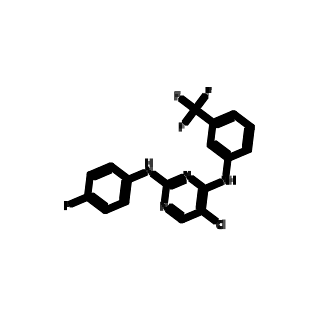 Fc1ccc(Nc2ncc(Cl)c(Nc3cccc(C(F)(F)F)c3)n2)cc1